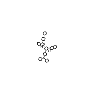 c1ccc(-c2ccc(-c3nc(-c4cc(-c5ccc(N(c6ccccc6)c6ccccc6)cc5)c5oc6cc7ccccc7cc6c5c4)nc4ccccc34)cc2)cc1